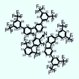 N#Cc1c(-n2c3ccc(-c4cc(C(F)(F)F)cc(C(F)(F)F)c4)cc3c3cc(-c4cc(C(F)(F)F)cc(C(F)(F)F)c4)ccc32)cc(-c2c(C(F)(F)F)cccc2C(F)(F)F)cc1-n1c2ccc(-c3cc(C(F)(F)F)cc(C(F)(F)F)c3)cc2c2cc(-c3cc(C(F)(F)F)cc(C(F)(F)F)c3)ccc21